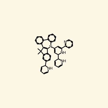 CC1(C)C2=C(c3ccc(C4C=CC=CN4)cc31)N(C1=CC(C3C=CC=CN3)NC(c3ccccn3)=C1)c1ccccc1-c1ccccc12